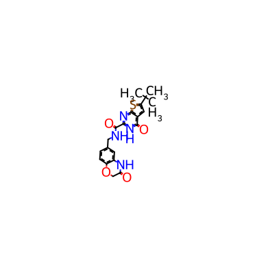 CC(C)(C)c1cc2c(=O)[nH]c(C(=O)NCc3ccc4c(c3)NC(=O)CO4)nc2s1